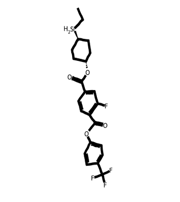 CC[SiH2][C@H]1CC[C@H](OC(=O)c2ccc(C(=O)Oc3ccc(C(F)(F)F)cc3)c(F)c2)CC1